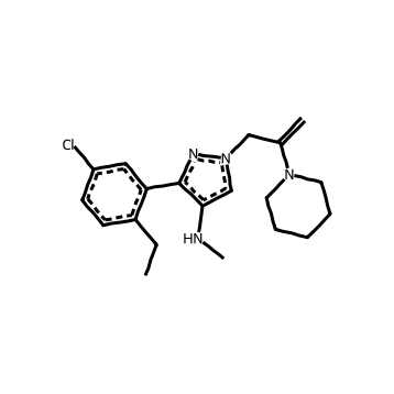 C=C(Cn1cc(NC)c(-c2cc(Cl)ccc2CC)n1)N1CCCCC1